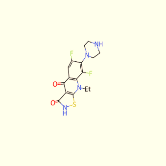 CCn1c2s[nH]c(=O)c2c(=O)c2cc(F)c(N3CCNCC3)c(F)c21